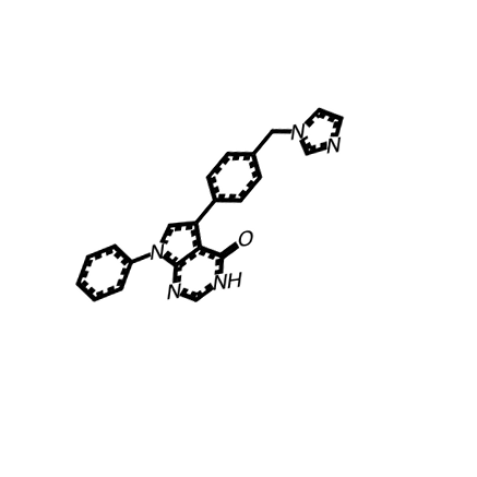 O=c1[nH]cnc2c1c(-c1ccc(Cn3ccnc3)cc1)cn2-c1ccccc1